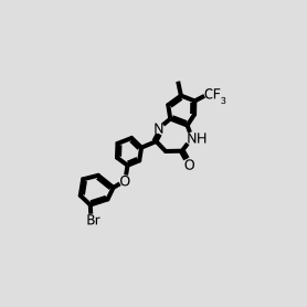 Cc1cc2c(cc1C(F)(F)F)NC(=O)CC(c1cccc(Oc3cccc(Br)c3)c1)=N2